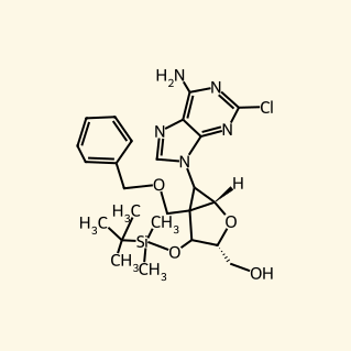 CC(C)(C)[Si](C)(C)OC1[C@@H](CO)O[C@H]2C(n3cnc4c(N)nc(Cl)nc43)C12COCc1ccccc1